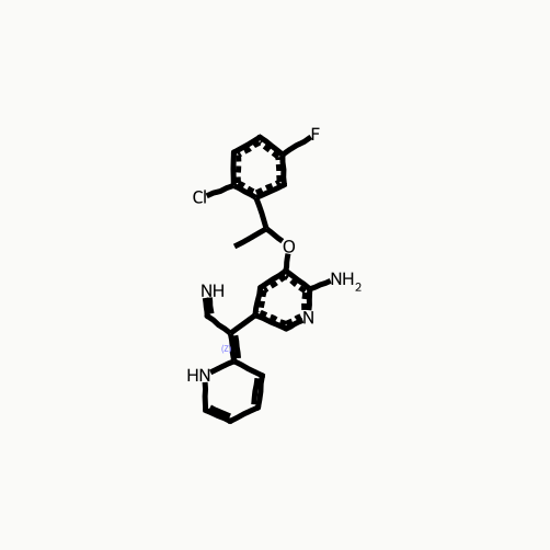 CC(Oc1cc(/C(C=N)=C2\C=CC=CN2)cnc1N)c1cc(F)ccc1Cl